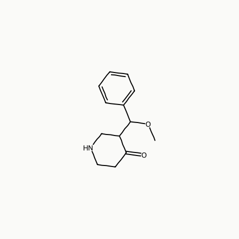 COC(c1ccccc1)C1CNCCC1=O